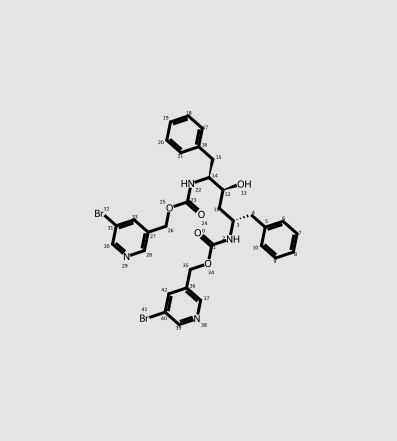 O=C(N[C@@H](Cc1ccccc1)C[C@H](O)[C@H](Cc1ccccc1)NC(=O)OCc1cncc(Br)c1)OCc1cncc(Br)c1